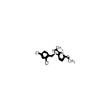 COc1ccc2c(n1)c(C)nn2Cc1ccc(Cl)cc1Cl